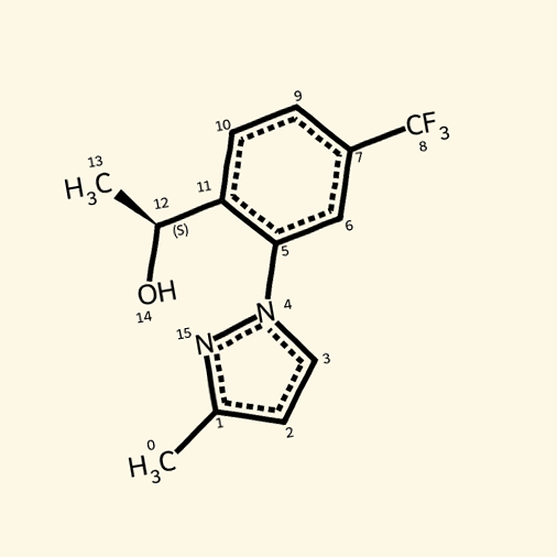 Cc1ccn(-c2cc(C(F)(F)F)ccc2[C@H](C)O)n1